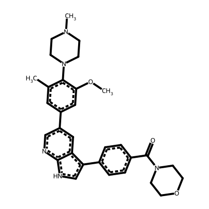 COc1cc(-c2cnc3[nH]cc(-c4ccc(C(=O)N5CCOCC5)cc4)c3c2)cc(C)c1N1CCN(C)CC1